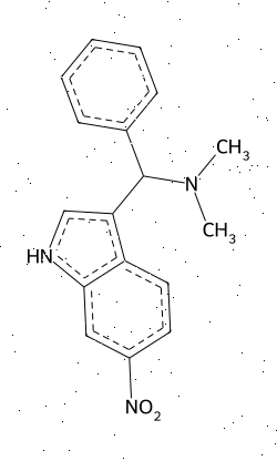 CN(C)C(c1ccccc1)c1c[nH]c2cc([N+](=O)[O-])ccc12